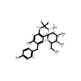 CCc1ccc(Cc2cc3c(cc2Cl)OC(C)(C)C[C@]32OC(CO)[C@H](O)[C@H](O)[C@H]2O)cc1